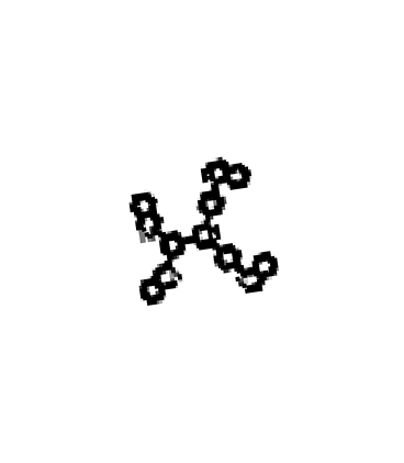 c1ccc2cc(-c3cc(-c4cc(-c5ccc(-c6nccc7ccccc67)cc5)nc(-c5ccc(-c6nccc7ccccc67)cc5)c4)cc(-c4cc5ccccc5cn4)c3)ncc2c1